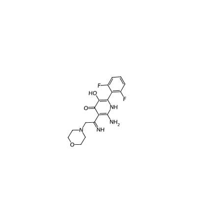 N=C(CN1CCOCC1)c1c(N)[nH]c(-c2c(F)cccc2F)c(O)c1=O